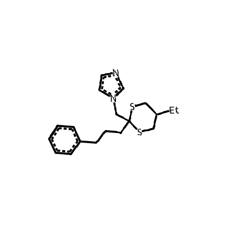 CCC1CSC(CCCc2ccccc2)(Cn2ccnc2)SC1